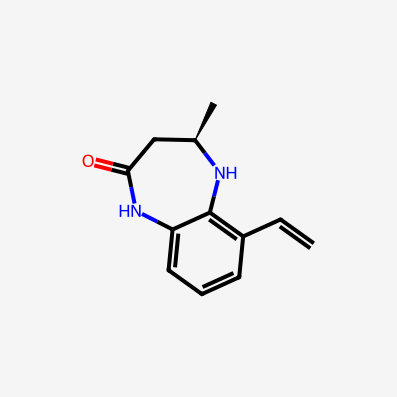 C=Cc1cccc2c1N[C@H](C)CC(=O)N2